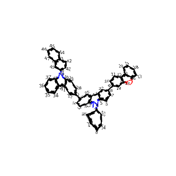 c1ccc(-n2c3ccc(-c4ccc5c(c4)oc4ccccc45)cc3c3cc(-c4ccc5c(c4)c4ccccc4n5-c4ccc5ccccc5c4)ccc32)cc1